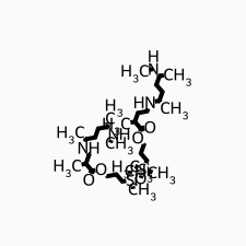 CNC(C)CCC(C)NCCC(C)C(=O)OCCC[Si](C)(C)O[Si](C)(C)CCCOC(=O)C(C)CNC(C)CCC(C)NC